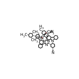 Cc1cc(C)c(-c2ccc3c(c2)c2ccccc2n3-c2ccc(C#N)cc2-c2nc(-c3ccccc3)nc(-c3cc(C#N)ccc3-n3c4ccccc4c4cc(-c5c(C)cc(C)cc5C)ccc43)n2)c(C)c1